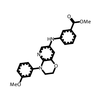 COC(=O)c1cccc(Nc2cnc3c(c2)OCCN3c2cccc(OC)c2)c1